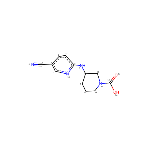 N#Cc1ccc(NC2CCCN(C(=O)O)C2)nc1